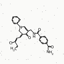 C=C/C(Cl)=C\C=C1/CN(c2ccccc2)C=C(CNC(=O)c2ccc(C(N)=O)cc2)C1=O